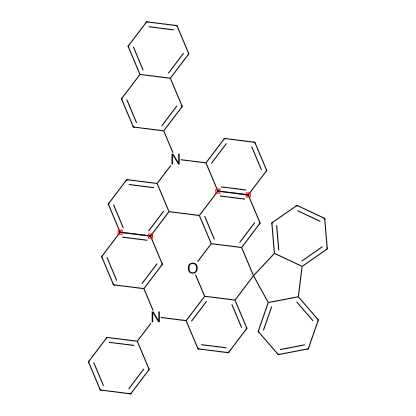 c1ccc(N(c2ccc3ccccc3c2)c2ccccc2-c2cccc3c2Oc2c(N(c4ccccc4)c4ccccc4)cccc2C32c3ccccc3-c3ccccc32)cc1